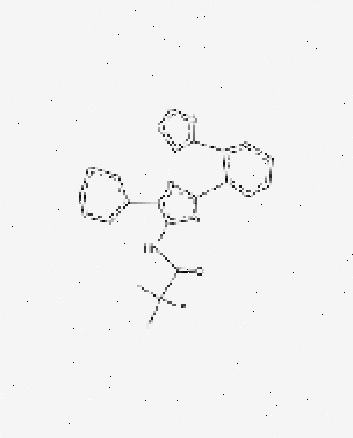 O=C(Nc1sc(-c2ccccc2-c2cccs2)nc1-c1ccccc1)C(F)(F)F